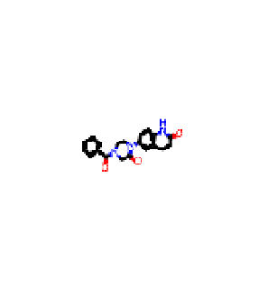 O=C1CCc2cc(N3CCN(C(=O)c4ccccc4)CC3=O)ccc2N1